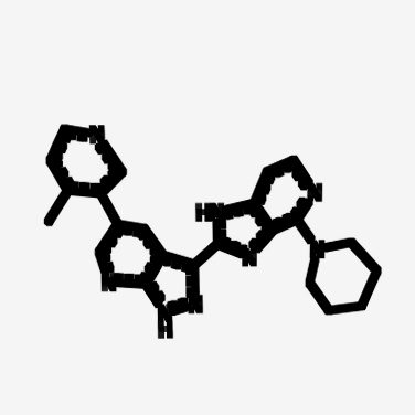 Cc1ccncc1-c1cnc2[nH]nc(-c3nc4c(N5CCCCC5)nccc4[nH]3)c2c1